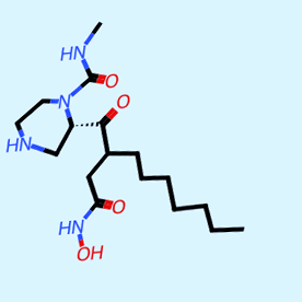 CCCCCCCC(CC(=O)NO)C(=O)[C@@H]1CNCCN1C(=O)NC